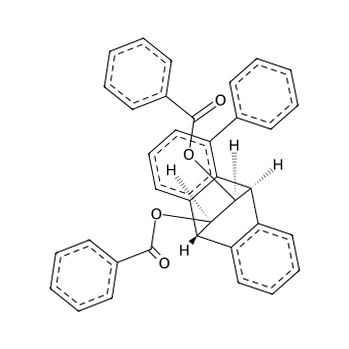 O=C(O[C@@H]1[C@@H]2c3ccccc3[C@H](c3c(-c4ccccc4)cccc32)[C@@H]1OC(=O)c1ccccc1)c1ccccc1